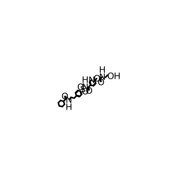 O=C(NCCO)Oc1ccc(C(=O)NS(=O)(=O)c2ccc(CCNC(=O)C3CCCCC3)cc2)cn1